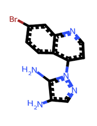 Nc1cnn(-c2ccnc3cc(Br)ccc23)c1N